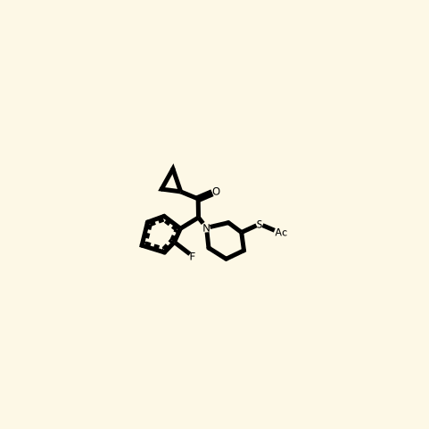 CC(=O)SC1CCCN(C(C(=O)C2CC2)c2ccccc2F)C1